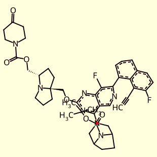 C#Cc1c(F)ccc2cccc(-c3ncc4c(N5CC6CCC(C5)N6C(=O)OC(C)(C)C)nc(OC[C@@]56CCCN5[C@H](COC(=O)N5CCC(=O)CC5)CC6)nc4c3F)c12